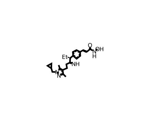 CC[C@H](C(=N)CCc1c(C)nn(CC2CC2)c1C)c1ccc(/C=C/C(=O)NO)cc1